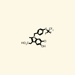 Cc1c(CC(=O)O)c2cc(O)c(Cl)cc2n1Cc1ccc(SC(F)(F)C(F)(F)F)cc1